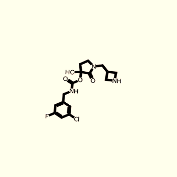 O=C(NCc1cc(F)cc(Cl)c1)OC1(O)CCN(CC2CNC2)C1=O